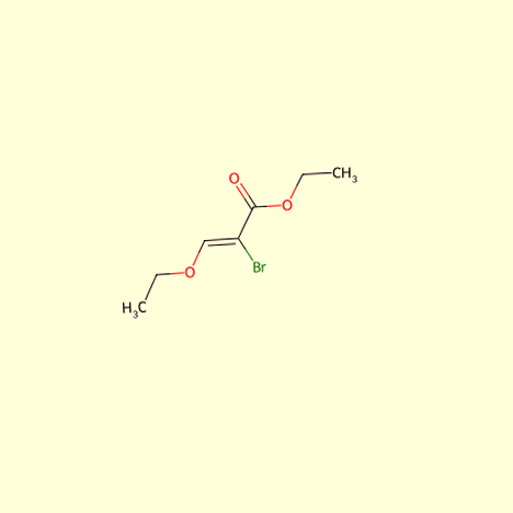 CCOC=C(Br)C(=O)OCC